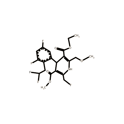 CCOC(=O)C1=C(COC)NC(CF)=C(C(=O)OC)C1c1cc(F)cc(F)c1CC(F)F